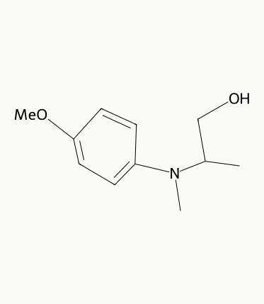 COc1ccc(N(C)C(C)CO)cc1